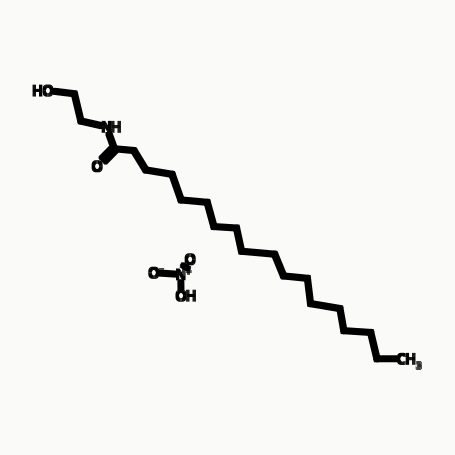 CCCCCCCCCCCCCCCCCC(=O)NCCO.O=[N+]([O-])O